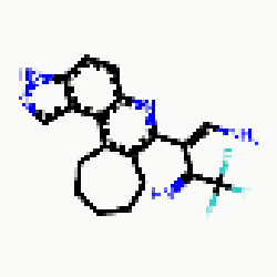 N=C(/C(=C\N)c1nc2ccc3[nH]ncc3c2c2c1CCCCC2)C(F)(F)F